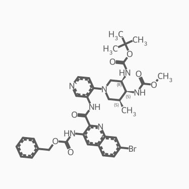 COC(=O)N[C@H]1[C@@H](C)CN(c2ccncc2NC(=O)c2nc3cc(Br)ccc3cc2NC(=O)OCc2ccccc2)C[C@H]1NC(=O)OC(C)(C)C